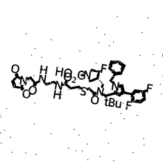 CC(C)(C)[C@H](c1cc(-c2cc(F)ccc2F)cn1Cc1ccccc1)N(C[C@@H]1CN(C(=O)O)C[C@@H]1F)C(=O)CSCCC(=O)NCCNC(=O)CN1C(=O)C=CC1=O